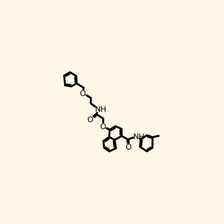 Cc1cccc(NC(=O)c2ccc(OCC(=O)NCCOCc3ccccc3)c3ccccc23)c1